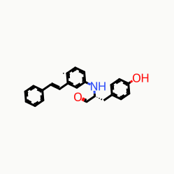 O=C[C@@H](Cc1ccc(O)cc1)Nc1cc[c]c(C=Cc2ccccc2)c1